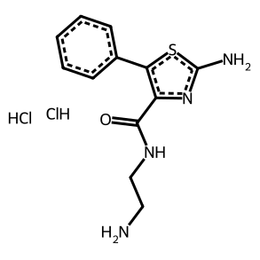 Cl.Cl.NCCNC(=O)c1nc(N)sc1-c1ccccc1